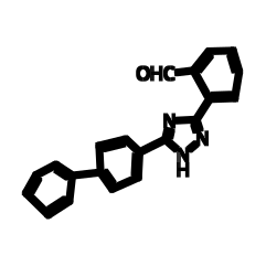 O=Cc1ccccc1-c1n[nH]c(-c2ccc(-c3ccccc3)cc2)n1